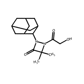 CC1(C)C(=O)N(C2C3CC4CC(C3)CC2C4)N1C(=O)CO